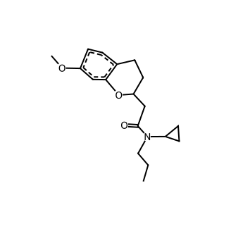 CCCN(C(=O)CC1CCc2ccc(OC)cc2O1)C1CC1